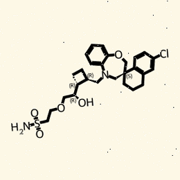 NS(=O)(=O)CCOC[C@H](O)[C@@H]1CC[C@H]1CN1C[C@@]2(CCCc3cc(Cl)ccc32)COc2ccccc21